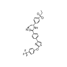 CCS(=O)(=O)c1ccc([C@H](CC#N)NC(=O)c2ccc(-c3csc(Oc4ccc(C(F)(F)F)cc4)n3)cc2)cc1